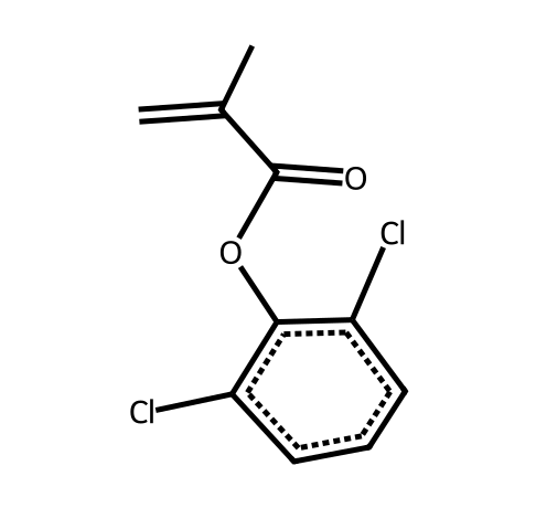 C=C(C)C(=O)Oc1c(Cl)cccc1Cl